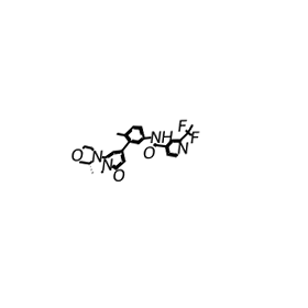 Cc1ccc(NC(=O)c2ccnc(C(C)(F)F)c2)cc1-c1cc(N2CCOC[C@H]2C)n(C)c(=O)c1